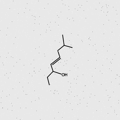 CCC(O)/C=C/CC(C)C